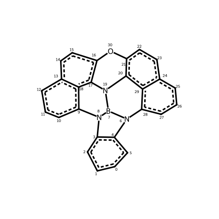 c1ccc2c(c1)N1B3N2c2cccc4ccc5c(c24)N3c2c(ccc3cccc1c23)O5